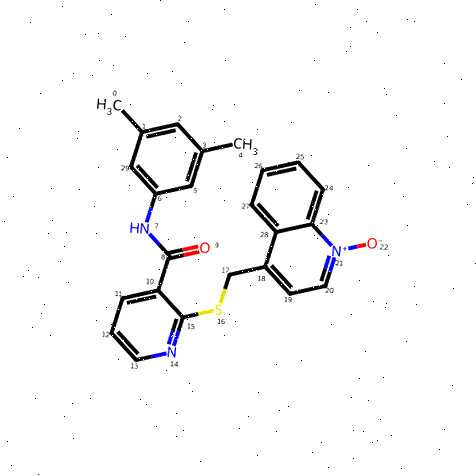 Cc1cc(C)cc(NC(=O)c2cccnc2SCc2cc[n+]([O-])c3ccccc23)c1